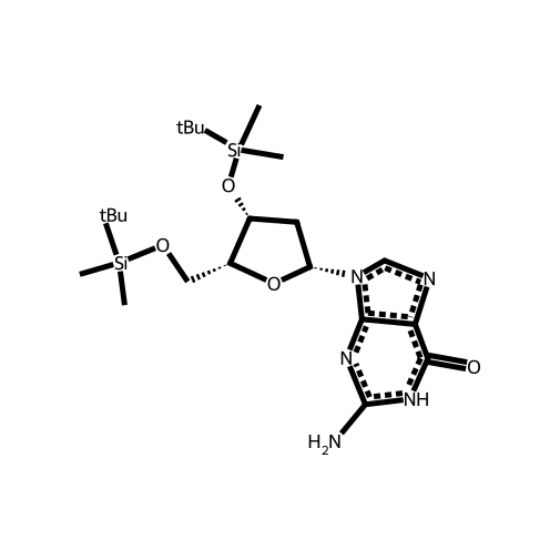 CC(C)(C)[Si](C)(C)OC[C@H]1O[C@@H](n2cnc3c(=O)[nH]c(N)nc32)C[C@H]1O[Si](C)(C)C(C)(C)C